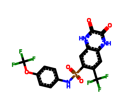 O=c1[nH]c2cc(C(F)(F)F)c(S(=O)(=O)Nc3ccc(OC(F)(F)F)cc3)cc2[nH]c1=O